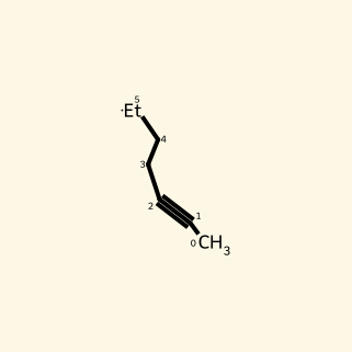 CC#CCC[CH]C